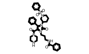 O=C(NCCCn1c(C(=O)N2CCNCC2)c(-c2ccccc2)n(C2CCCN(S(=O)(=O)c3ccccc3)C2)c1=O)c1ccccc1